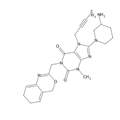 CC#CCn1c(N2CCCC(N)C2)nc2c1c(=O)n(CC1=NC3=CCCC=C3CO1)c(=O)n2C